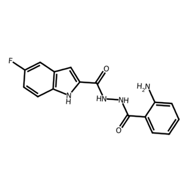 Nc1ccccc1C(=O)NNC(=O)c1cc2cc(F)ccc2[nH]1